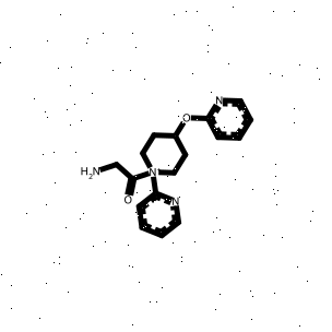 NCC(=O)[N+]1(c2ccccn2)CCC(Oc2ccccn2)CC1